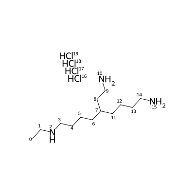 CCNCCCCC(CCN)CCCCN.Cl.Cl.Cl.Cl